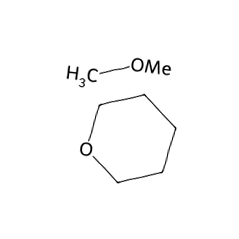 C1CCOCC1.COC